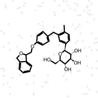 Cc1ccc([C@@H]2O[C@H](CO)[C@@H](O)[C@H](O)[C@H]2O)cc1Cc1ccc(OCC2OCc3ccccc32)cc1